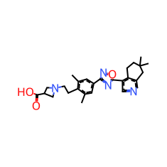 Cc1cc(-c2noc(-c3cncc4c3CCC(C)(C)C4)n2)cc(C)c1CCN1CC(C(=O)O)C1